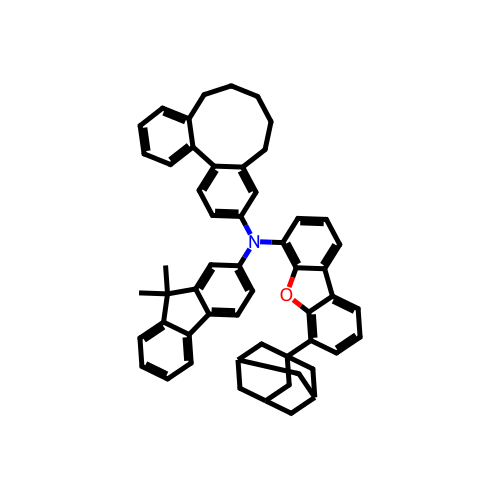 CC1(C)c2ccccc2-c2ccc(N(c3ccc4c(c3)CCCCCc3ccccc3-4)c3cccc4c3oc3c(C56CC7CC(CC(C7)C5)C6)cccc34)cc21